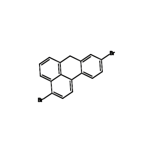 Brc1ccc2c(c1)Cc1cccc3c(Br)ccc-2c13